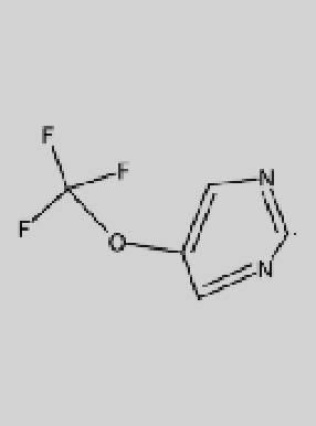 FC(F)(F)Oc1cn[c]nc1